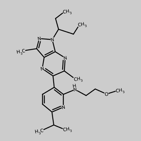 CCC(CC)n1nc(C)c2nc(-c3ccc(C(C)C)nc3NCCOC)c(C)nc21